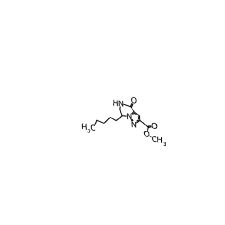 CCCCCC1CNC(=O)c2cc(C(=O)OC)nn21